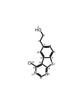 OCCc1ccc2sc3ncnc(Cl)c3c2c1